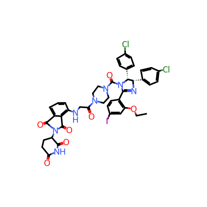 CCOc1cc(I)ccc1C1=N[C@@H](c2ccc(Cl)cc2)[C@@H](c2ccc(Cl)cc2)N1C(=O)N1CCN(C(=O)CNc2cccc3c2C(=O)N(C2CCC(=O)NC2=O)C3=O)CC1